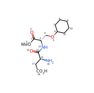 COC(=O)[C@H](COC1CCCCC1)NC(=O)[C@@H](N)CC(=O)O